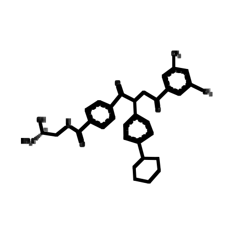 O=C(CC(C(=O)c1ccc(C(=O)NC[C@@H](O)C(=O)O)cc1)c1ccc(C2CCCCC2)cc1)c1cc(C(F)(F)F)cc(C(F)(F)F)c1